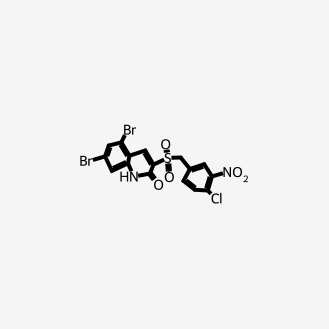 O=c1[nH]c2cc(Br)cc(Br)c2cc1S(=O)(=O)Cc1ccc(Cl)c([N+](=O)[O-])c1